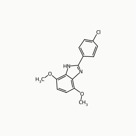 COc1ccc(OC)c2[nH]c(-c3ccc(Cl)cc3)nc12